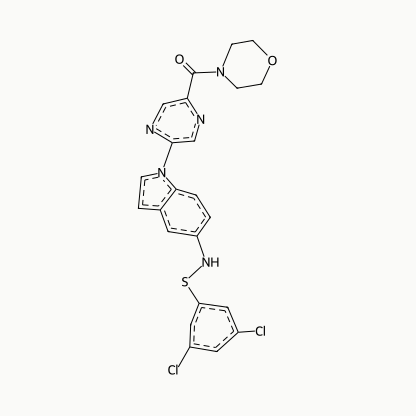 O=C(c1cnc(-n2ccc3cc(NSc4cc(Cl)cc(Cl)c4)ccc32)cn1)N1CCOCC1